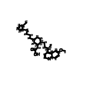 COc1ccc2nccc([C@@H](F)CC[C@@H]3CCN(CCCSc4cncn4C)C[C@@H]3CC(=O)O)c2c1